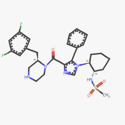 CS(=O)(=O)N[C@H]1CCCC[C@@H]1n1cnc(C(=O)N2CCNC[C@H]2Cc2cc(F)cc(F)c2)c1-c1ccccc1